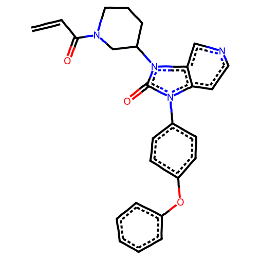 C=CC(=O)N1CCCC(n2c(=O)n(-c3ccc(Oc4ccccc4)cc3)c3ccncc32)C1